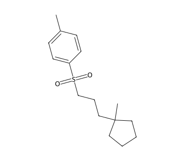 Cc1ccc(S(=O)(=O)CCCC2(C)CCCC2)cc1